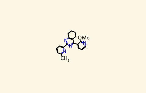 COc1ncccc1-c1nc(-c2cccc(C)n2)nc2c1CCCC2